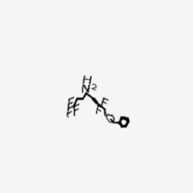 NC(C#CC(F)(F)CCOCc1ccccc1)CCC(F)(F)F